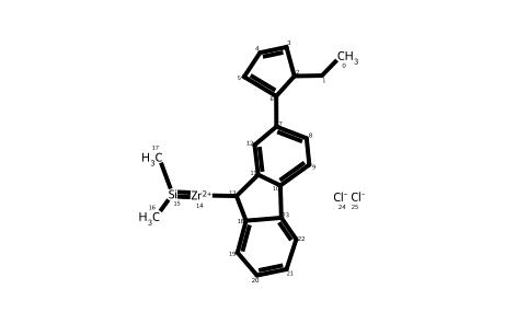 CCC1C=CC=C1c1ccc2c(c1)[CH]([Zr+2]=[Si](C)C)c1ccccc1-2.[Cl-].[Cl-]